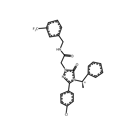 C[C@H](c1ccccc1)n1c(-c2ccc(Cl)cc2)nn(CC(=O)NCc2cccc(C(F)(F)F)c2)c1=O